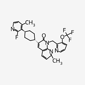 Cc1ccc2cc([C@H]3CC[C@H](c4c(C)ccnc4F)CC3)c(=O)n(Cc3ncccc3OC(F)(F)F)c2n1